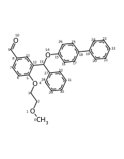 COCCOc1ccc(C=O)cc1C(Oc1ccc(-c2ccccc2)cc1)c1ccccc1